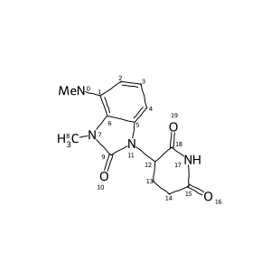 CNc1cccc2c1n(C)c(=O)n2C1CCC(=O)NC1=O